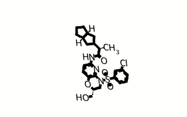 C[C@H](C(=O)Nc1ccc2c(n1)N(S(=O)(=O)c1cccc(Cl)c1)C[C@H](CO)O2)C1C[C@H]2CCC[C@H]2C1